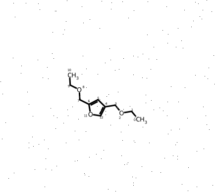 CCOCc1[c]c(COCC)oc1